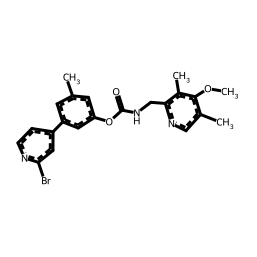 COc1c(C)cnc(CNC(=O)Oc2cc(C)cc(-c3ccnc(Br)c3)c2)c1C